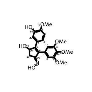 COc1ccc(C2=C(c3cc(OC)c(OC)c(OC)c3)C(=NO)CC2O)cc1O